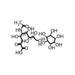 CC(=O)N[C@@H]([C@@H](O)[C@H](O)[C@H](O)CO)[C@@H](O)CC(=O)C(=O)O.O[C@H]1[C@H](O)[C@@H](O)[C@H](O)[C@@H](O)[C@H]1O